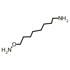 NCCCCCCCCON